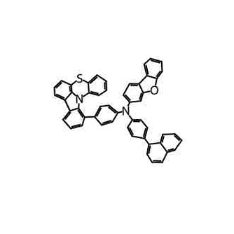 c1ccc2c(c1)Sc1cccc3c4cccc(-c5ccc(N(c6ccc(-c7cccc8ccccc78)cc6)c6ccc7c(c6)oc6ccccc67)cc5)c4n-2c13